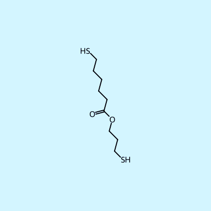 O=C(CCCCCS)OCCCS